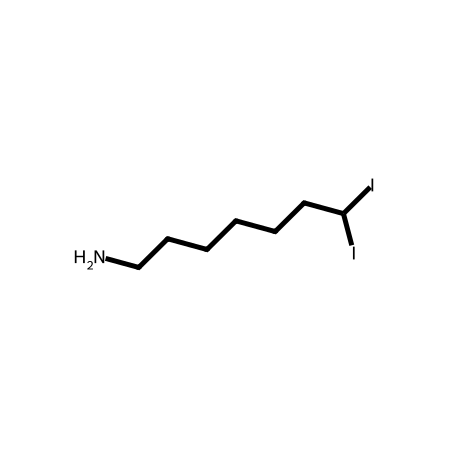 NCCCCCCC(I)I